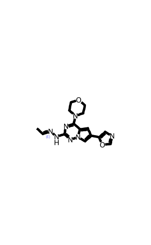 C/C=N/Nc1nc(N2CCOCC2)c2cc(-c3cnco3)cn2n1